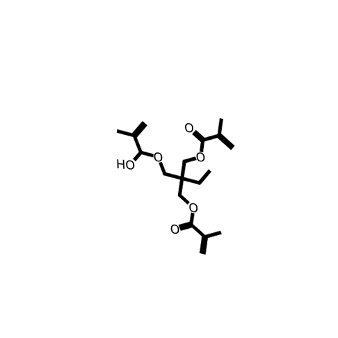 C=C(C)C(=O)OCC(CC)(COC(=O)C(=C)C)COC(O)C(=C)C